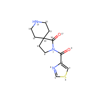 O=C(c1cscn1)N1CCC2(CCNCC2)C1=O